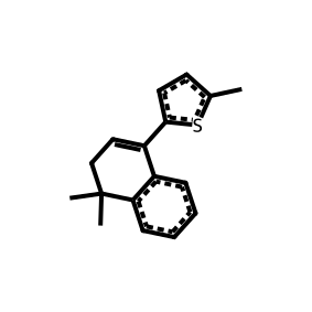 Cc1ccc(C2=CCC(C)(C)c3ccccc32)s1